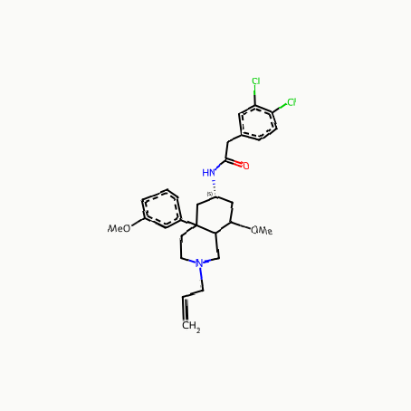 C=CCN1CCC2(c3cccc(OC)c3)C[C@H](NC(=O)Cc3ccc(Cl)c(Cl)c3)CC(OC)C2C1